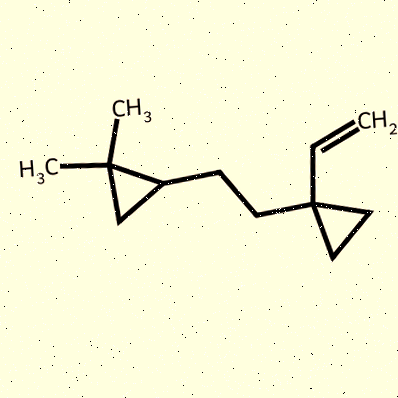 C=CC1(CCC2CC2(C)C)CC1